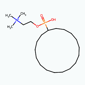 C[N+](C)(C)CCOP(=O)(O)C1CCCCCCCCCCCCCCCC1